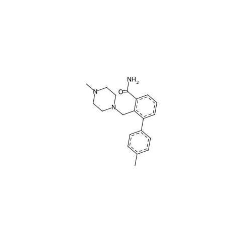 Cc1ccc(-c2cccc(C(N)=O)c2CN2CCN(C)CC2)cc1